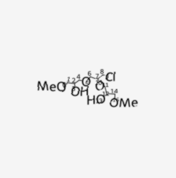 COCC(O)COCC(CCl)OCC(O)COC